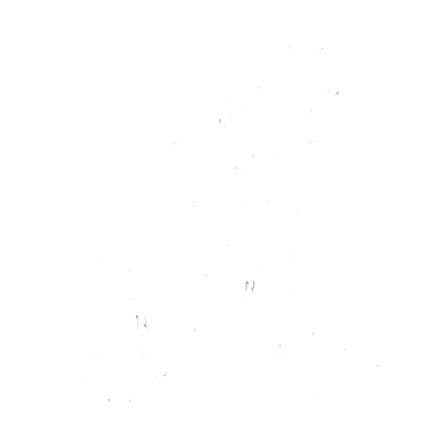 c1ccc(-c2ccc(N(c3ccc(-n4c5ccccc5c5ccccc54)cc3)c3cccc(-c4cccc5oc6c7ccccc7ccc6c45)c3)cc2)cc1